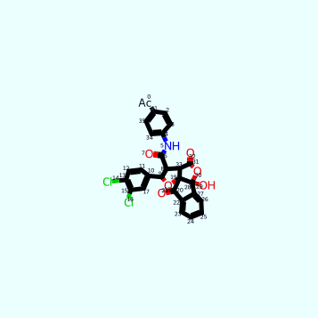 CC(=O)c1ccc(NC(=O)C2C(c3ccc(Cl)c(Cl)c3)OC34C(=O)c5ccccc5C3(O)OC(=O)C24)cc1